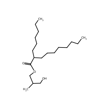 [CH2]C(CO)COC(=O)C(CCCCCC)CCCCCCCC